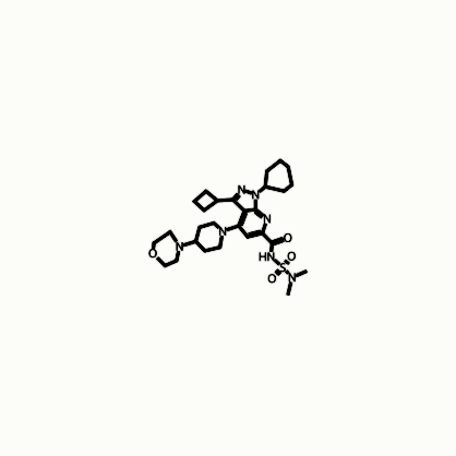 CN(C)S(=O)(=O)NC(=O)c1cc(N2CCC(N3CCOCC3)CC2)c2c(C3CCC3)nn(C3CCCCC3)c2n1